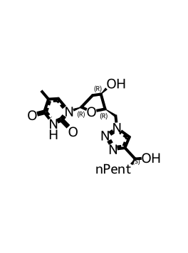 CCCCC[C@H](O)c1cn(C[C@H]2O[C@@H](n3cc(C)c(=O)[nH]c3=O)C[C@H]2O)nn1